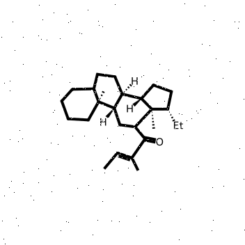 CC=C(C)C(=O)C1C[C@H]2[C@@H](CCC3CCCC[C@@]32C)[C@@H]2CC[C@H](CC)[C@@]12C